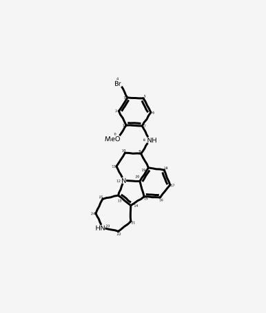 COc1cc(Br)ccc1NC1CCn2c3c(c4cccc1c42)CCNCC3